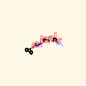 NC(=O)[C@H]1O[C@@H](CNC(=O)C[C@@H]2O[C@H](CNC(=O)CC[C@H](NC(=O)OCC3c4ccccc4-c4ccccc43)C(=O)O)[C@@H](O)[C@H]2O)[C@H](O)[C@@H](O)[C@@H]1O